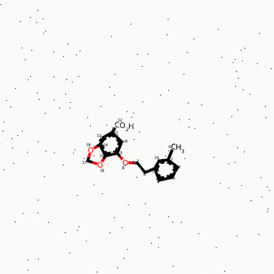 Cc1cccc(CCOc2cc(C(=O)O)cc3c2OCO3)c1